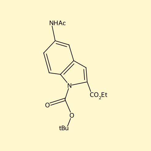 CCOC(=O)c1cc2cc(NC(C)=O)ccc2n1C(=O)OC(C)(C)C